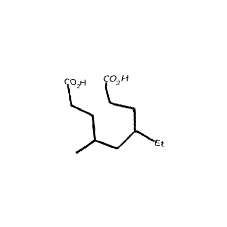 CCC(CCC(=O)O)CC(C)CCC(=O)O